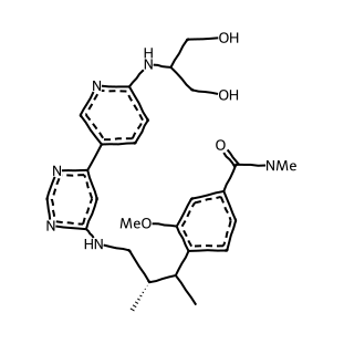 CNC(=O)c1ccc(C(C)[C@H](C)CNc2cc(-c3ccc(NC(CO)CO)nc3)ncn2)c(OC)c1